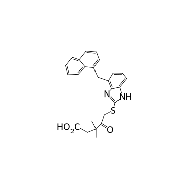 CC(C)(CC(=O)O)C(=O)CSc1nc2c(Cc3cccc4ccccc34)cccc2[nH]1